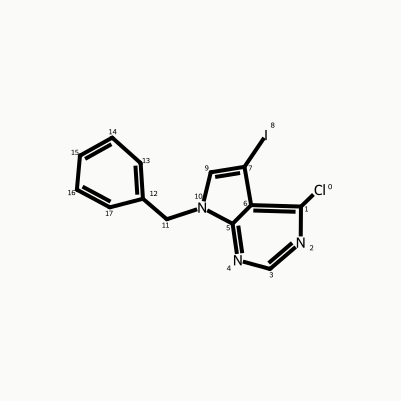 Clc1ncnc2c1c(I)cn2Cc1ccccc1